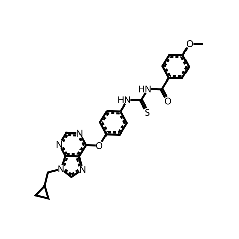 COc1ccc(C(=O)NC(=S)Nc2ccc(Oc3ncnc4c3ncn4CC3CC3)cc2)cc1